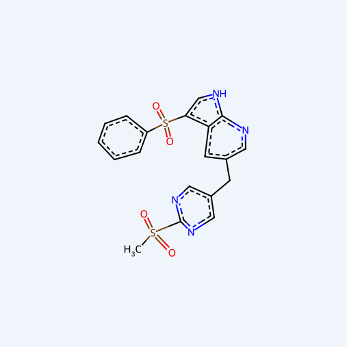 CS(=O)(=O)c1ncc(Cc2cnc3[nH]cc(S(=O)(=O)c4ccccc4)c3c2)cn1